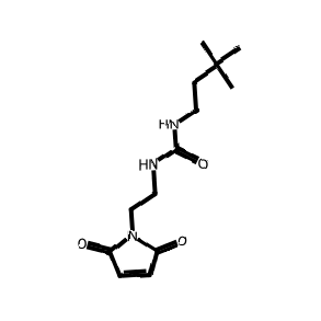 CC(C)(C)CCNC(=O)NCCN1C(=O)C=CC1=O